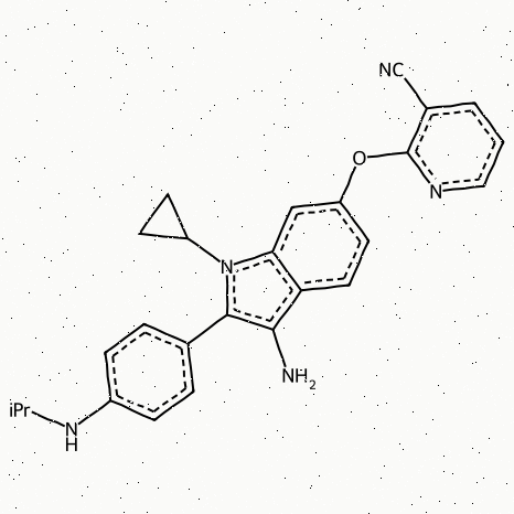 CC(C)Nc1ccc(-c2c(N)c3ccc(Oc4ncccc4C#N)cc3n2C2CC2)cc1